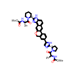 COC(=O)NC(C(=O)N1CCC[C@H]1c1ncc(-c2ccc3c(c2)COc2cc4c(ccc5[nH]c([C@@H]6CCCCN6C(=O)[C@@H](NC(=O)OC)C(C)C)nc54)cc2-3)[nH]1)C(C)C